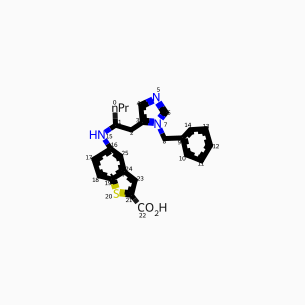 CCCC(Cc1cncn1Cc1ccccc1)Nc1ccc2sc(C(=O)O)cc2c1